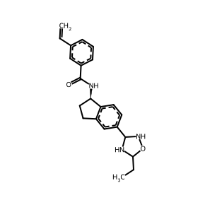 C=Cc1cccc(C(=O)N[C@@H]2CCc3cc(C4NOC(CC)N4)ccc32)c1